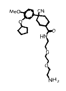 COc1ccc(C2(C#N)CCC(C(=O)NCCOCCOCCN)CC2)cc1OC1CCCC1